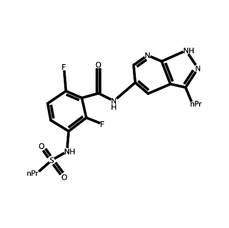 CCCc1n[nH]c2ncc(NC(=O)c3c(F)ccc(NS(=O)(=O)CCC)c3F)cc12